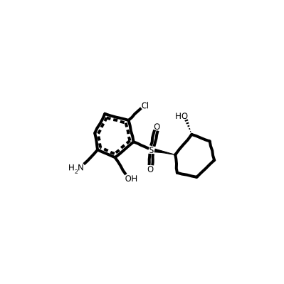 Nc1ccc(Cl)c(S(=O)(=O)[C@@H]2CCCC[C@H]2O)c1O